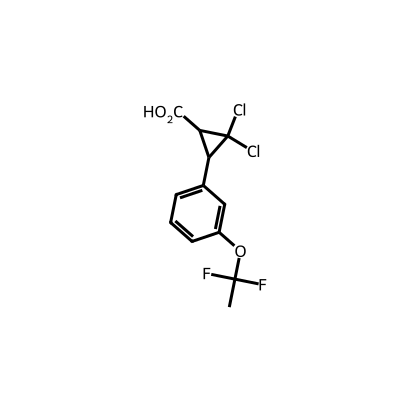 CC(F)(F)Oc1cccc(C2C(C(=O)O)C2(Cl)Cl)c1